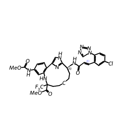 COC(=O)Nc1ccc2c(c1)NC(C(=O)OC)(C(F)(F)F)CCCCC[C@H](NC(=O)/C=C/c1cc(Cl)ccc1-n1cnnn1)c1nc-2c[nH]1